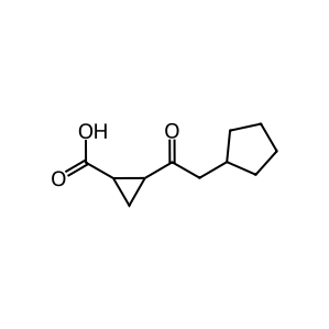 O=C(O)C1CC1C(=O)CC1CCCC1